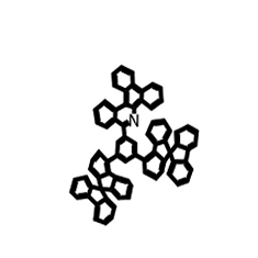 c1ccc2c(c1)-c1ccccc1C21c2ccccc2-c2c(-c3cc(-c4cccc5c4-c4ccccc4C54c5ccccc5-c5ccccc54)cc(-c4nc5c6ccccc6c6ccccc6c5c5ccccc45)c3)cccc21